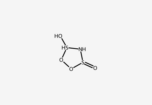 O=S1N[SH](O)OO1